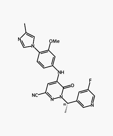 COc1cc(Nc2cc(C#N)nn([C@@H](C)c3cncc(F)c3)c2=O)ccc1-n1cnc(C)c1